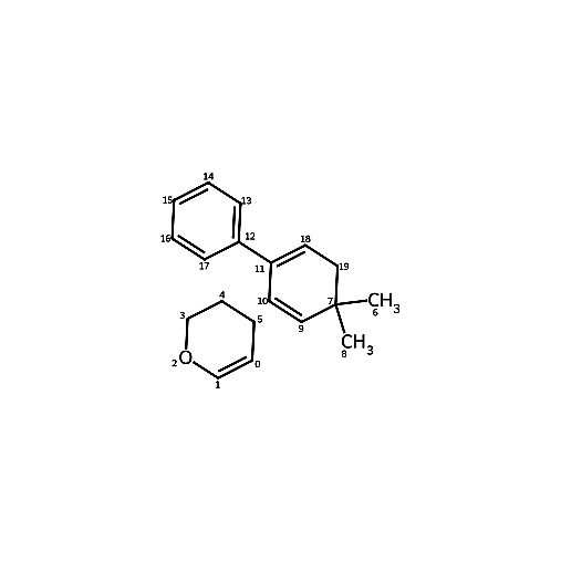 C1=COCCC1.CC1(C)C=CC(c2ccccc2)=CC1